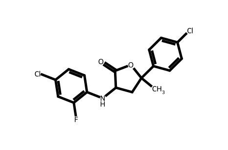 CC1(c2ccc(Cl)cc2)CC(Nc2ccc(Cl)cc2F)C(=O)O1